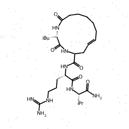 CC[C@@H](C)[C@@H]1NC(=O)CCCCC/C=C/CC(C(=O)N[C@@H](CCCNC(=N)N)C(=O)N[C@H](C(N)=O)C(C)C)NC1=O